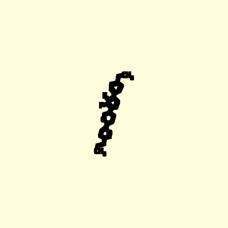 CCCC1CCC(C2CCC(c3ccc(-c4ccc(CC)cc4)c(F)c3F)CO2)OC1